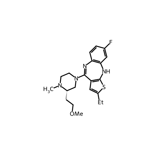 CCc1cc2c(s1)Nc1cc(F)ccc1N=C2N1CCN(C)[C@@H](CCOC)C1